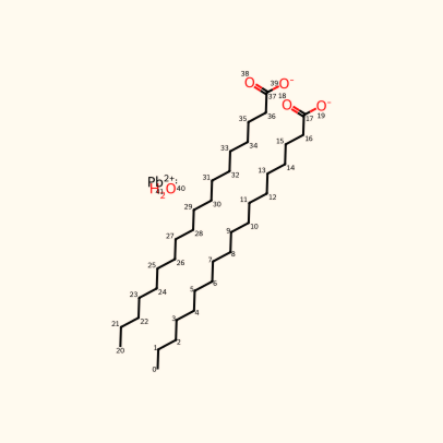 CCCCCCCCCCCCCCCCCC(=O)[O-].CCCCCCCCCCCCCCCCCC(=O)[O-].O.[Pb+2]